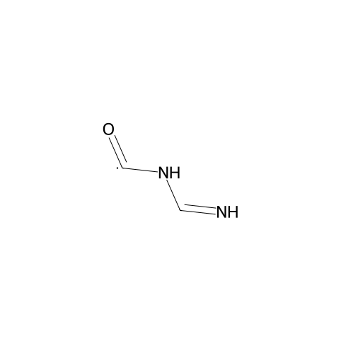 N=CN[C]=O